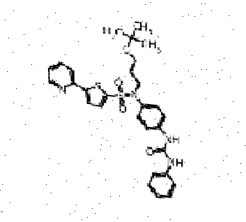 CC(C)(C)OCCCN(c1ccc(NC(=O)Nc2ccccc2)cc1)S(=O)(=O)c1ccc(-c2ccccn2)s1